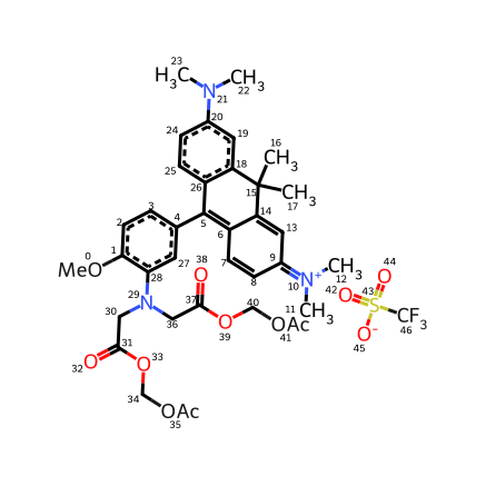 COc1ccc(C2=C3C=CC(=[N+](C)C)C=C3C(C)(C)c3cc(N(C)C)ccc32)cc1N(CC(=O)OCOC(C)=O)CC(=O)OCOC(C)=O.O=S(=O)([O-])C(F)(F)F